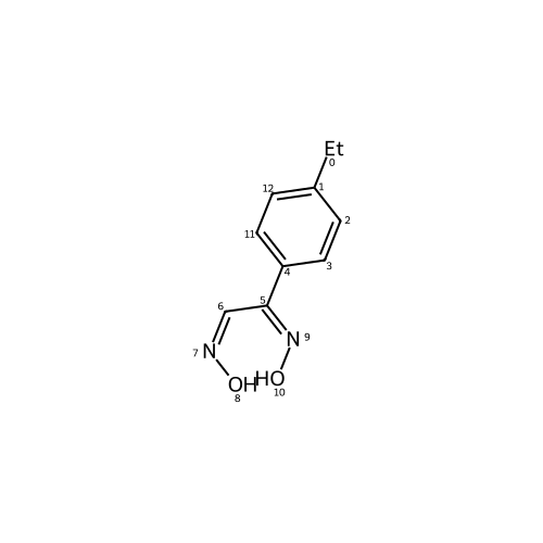 CCc1ccc(C(/C=N\O)=N/O)cc1